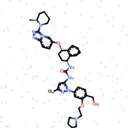 C[C@H]1CCCCN1c1nnc2ccc(O[C@@H]3CC[C@H](NC(=O)Nc4cc(C(C)(C)C)nn4-c4ccc(CO)c(OCCN5CCCC5)c4)c4ccccc43)cn12